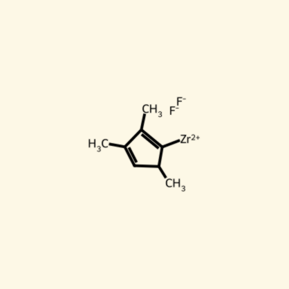 CC1=CC(C)[C]([Zr+2])=C1C.[F-].[F-]